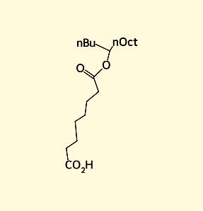 CCCCCCCCC(CCCC)OC(=O)CCCCCCC(=O)O